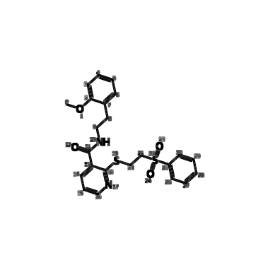 COc1ccccc1CCNC(=O)c1cccnc1SCCS(=O)(=O)c1ccccc1